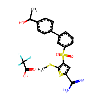 CSc1sc(C(=N)N)cc1S(=O)(=O)c1cccc(-c2ccc(C(C)O)cc2)c1.O=C(O)C(F)(F)F